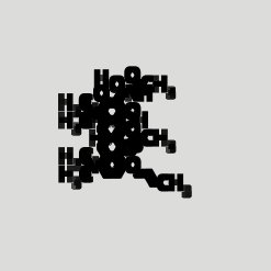 CCCCOc1ccc(N(C)C)c2c1C(=O)C1=C(OC(C)=O)[C@]3(O)C(=O)C(C(=O)NC(C)=O)=C(O)C(N(C)C)[C@@H]3C[C@@H]1C2